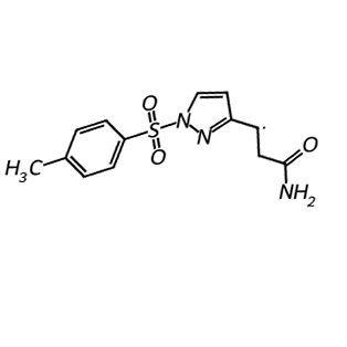 Cc1ccc(S(=O)(=O)n2ccc([CH]CC(N)=O)n2)cc1